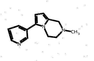 CN1CCn2c(ccc2-c2cccnc2)C1